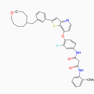 COc1ccccc1NC(=O)CC(=O)Nc1ccc(Oc2ccnc3cc(-c4cccc(CC5CCCCOCCC5)c4)sc23)c(F)c1